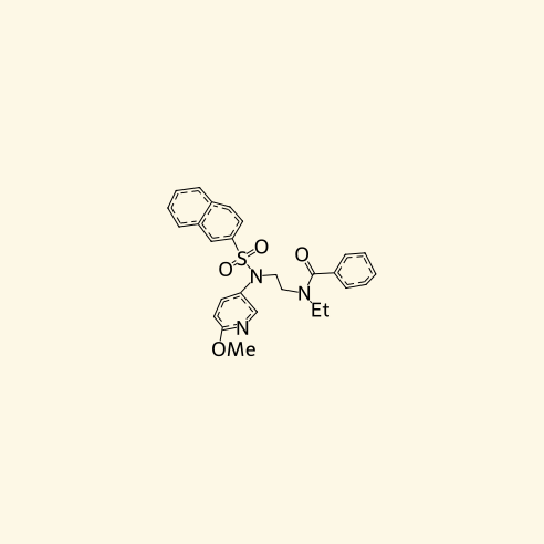 CCN(CCN(c1ccc(OC)nc1)S(=O)(=O)c1ccc2ccccc2c1)C(=O)c1ccccc1